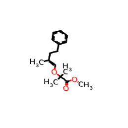 COC(=O)C(C)(C)OC=C(C)CCc1ccccc1